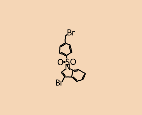 O=S(=O)(c1ccc(CBr)cc1)n1cc(Br)c2ccccc21